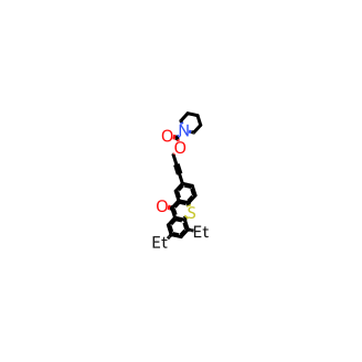 CCc1cc(CC)c2sc3ccc(C#CCOC(=O)N4CCCCC4)cc3c(=O)c2c1